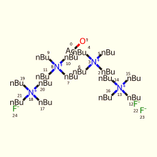 CC(=O)[O-].CCCC[N+](CCCC)(CCCC)CCCC.CCCC[N+](CCCC)(CCCC)CCCC.CCCC[N+](CCCC)(CCCC)CCCC.CCCC[N+](CCCC)(CCCC)CCCC.[F-].[F-].[F-]